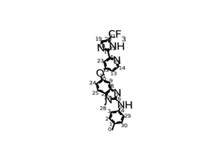 Cc1ccc(Nc2nc3cc(Oc4ccnc(-c5ncc(C(F)(F)F)[nH]5)c4)ccc3n2C)cc1